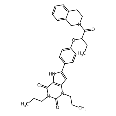 CCCn1c(=O)c2[nH]c(-c3ccc(OC(CC)C(=O)N4CCc5ccccc5C4)cc3)cc2n(CCC)c1=O